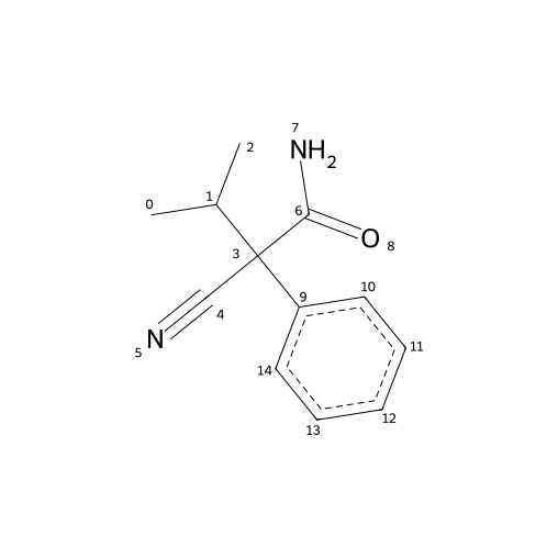 CC(C)C(C#N)(C(N)=O)c1ccccc1